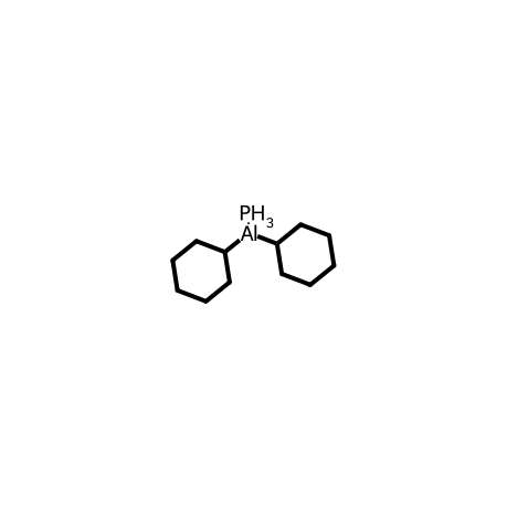 C1CC[CH]([Al][CH]2CCCCC2)CC1.P